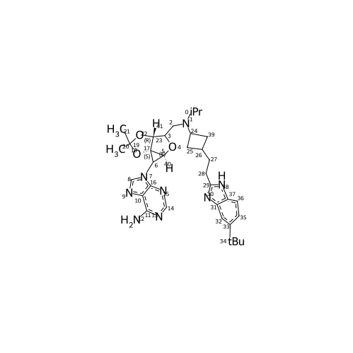 CC(C)N(CC1O[C@H]2C(n3cnc4c(N)ncnc43)[C@]23OC(C)(C)O[C@H]13)C1CC(CCc2nc3cc(C(C)(C)C)ccc3[nH]2)C1